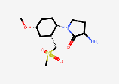 CO[C@@H]1CC[C@H](N2CCC(N)C2=O)[C@H](CS(C)(=O)=O)C1